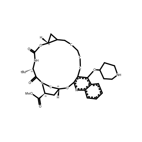 COC(=O)[C@@H]1C[C@@H]2CN1C(=O)[C@H](C(C)(C)C)NC(=O)O[C@@H]1CC1CCCCCc1c(nc3ccccc3c1OC1CCNCC1)O2